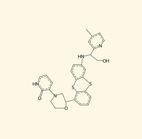 Cc1ccnc(C(CO)Nc2ccc3c(c2)Sc2cccc(C4CN(c5ccc[nH]c5=O)CCO4)c2S3)c1